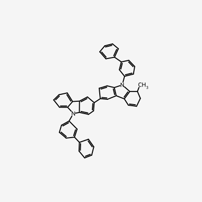 CC1CC=Cc2c1n(-c1cccc(-c3ccccc3)c1)c1ccc(-c3ccc4c(c3)c3ccccc3n4-c3cccc(-c4ccccc4)c3)cc21